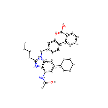 CCCCc1nc2c(NC(C)=O)cc(C3CCCCC3)cc2n1Cc1ccc(-c2ccccc2C(=O)O)cc1